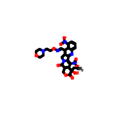 CCC1(O)C(=O)OCc2c1c([N+](=O)[O-])c1n(c2=O)Cc2c-1nc1cccc([N+](=O)[O-])c1c2/C=N/OCCN1CCOCC1